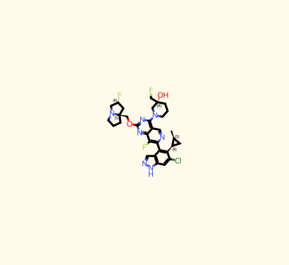 C[C@H]1C[C@H]1c1c(Cl)cc2[nH]ncc2c1-c1ncc2c(N3CCC[C@](O)(CF)C3)nc(OC[C@@]34CCCN3C[C@H](F)C4)nc2c1F